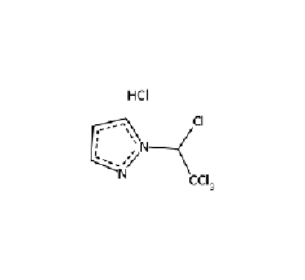 Cl.ClC(n1cccn1)C(Cl)(Cl)Cl